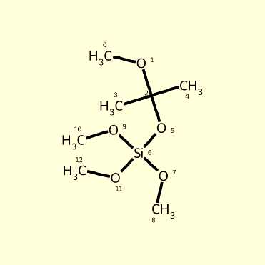 COC(C)(C)O[Si](OC)(OC)OC